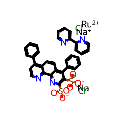 O=S(=O)([O-])c1nc2c(ccc3c(-c4ccccc4)ccnc32)c(-c2ccccc2)c1S(=O)(=O)[O-].[Cl-].[Cl-].[Na+].[Na+].[Ru+2].c1ccc(-c2ccccn2)nc1